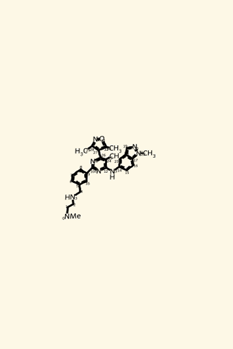 CNCCNCc1cccc(-c2nc(Nc3ccc4c(cnn4C)c3)c(C)c(-c3c(C)noc3C)n2)c1